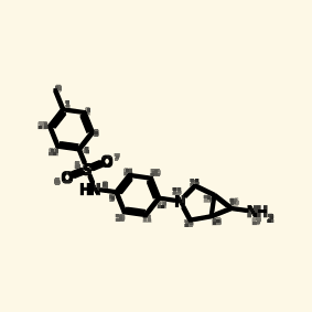 Cc1ccc(S(=O)(=O)Nc2ccc(N3CC4C(N)C4C3)cc2)cc1